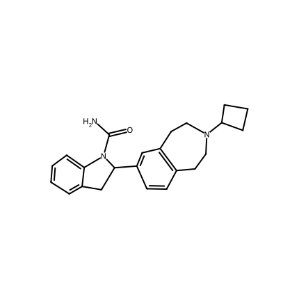 NC(=O)N1c2ccccc2CC1c1ccc2c(c1)CCN(C1CCC1)CC2